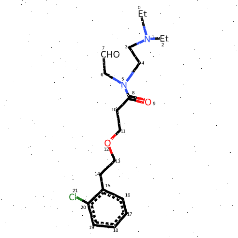 CCN(CC)CCN(CC=O)C(=O)CCOCCc1ccccc1Cl